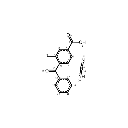 Cc1cc(C(=O)O)ccc1C(=O)c1ccccc1.[N-]=[N+]=N